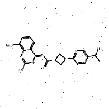 COc1cccc2/c(=N/C(=N)[C@H]3C[C@H](c4ccc(C(C)N)cn4)C3)[nH]c(N)nc12